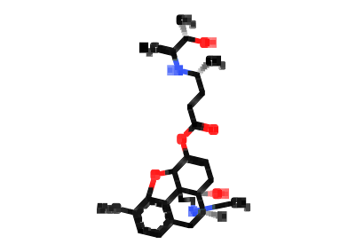 C=C(N[C@H](C)CCC(=O)OC1=CC[C@@]2(O)[C@H]3Cc4ccc(OC)c5c4C2(CCN3C)C1O5)[C@H](C)O